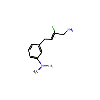 CN(C)c1cccc(C/C=C(\F)CN)c1